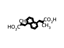 CC(=Cc1cccc2c(C=C(C)C(=O)O)cccc12)C(=O)O